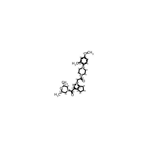 COc1ccc(N2CCN(C(=O)Cn3nc(C(=O)N4C[C@@H](C)O[C@@H](C)C4)c4c3CCC4)CC2)c(C)c1